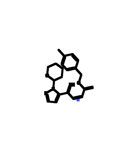 C=C(/C=C\C(=N)c1ccnn1C1CCCCO1)OCc1ccc(C)cc1